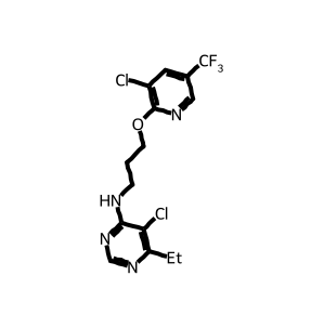 CCc1ncnc(NCCCOc2ncc(C(F)(F)F)cc2Cl)c1Cl